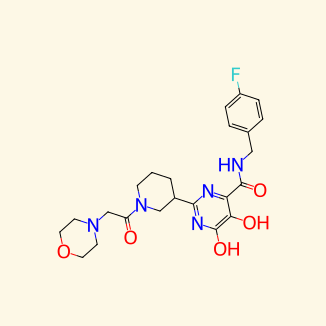 O=C(NCc1ccc(F)cc1)c1nc(C2CCCN(C(=O)CN3CCOCC3)C2)nc(O)c1O